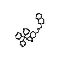 c1ccc(C(c2ccccc2)(c2ccccc2)n2cnc3c2CCC(COCc2ccc4ccccc4c2)C3)cc1